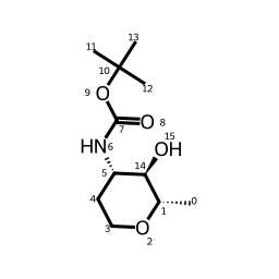 C[C@@H]1OCC[C@H](NC(=O)OC(C)(C)C)[C@H]1O